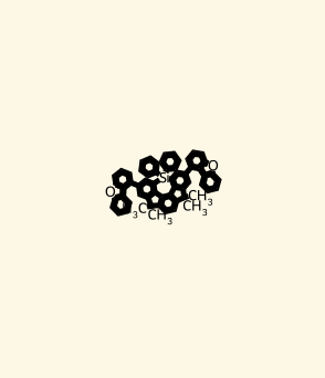 CC1(C)c2cc(-c3cccc4oc5ccccc5c34)cc3c2-c2c1ccc1c2-c2c(cc(-c4cccc5oc6ccccc6c45)cc2[Si]3(c2ccccc2)c2ccccc2)C1(C)C